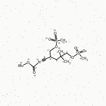 CC(C)(COS(C)(=O)=O)CC(C#[N+]C(=O)OC(C)(C)C)COS(C)(=O)=O